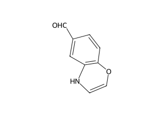 O=Cc1ccc2c(c1)NC=CO2